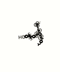 CC(C)Cc1ccc(C(C)C(=O)Oc2ccc(OC(=O)CCCO[N+](=O)[O-])c(C(=O)Oc3ccc(P4(=S)SP(=S)(c5ccc(O)cc5)S4)cc3)c2)cc1